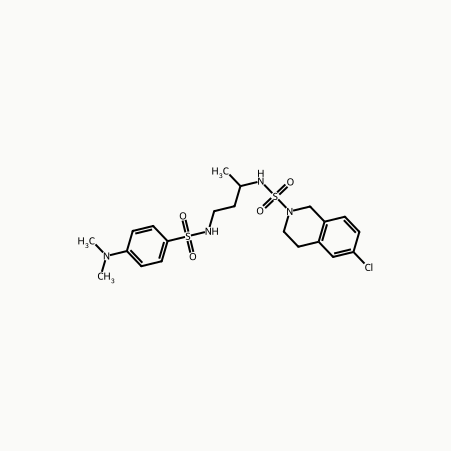 CC(CCNS(=O)(=O)c1ccc(N(C)C)cc1)NS(=O)(=O)N1CCc2cc(Cl)ccc2C1